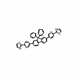 c1ccc(C2(c3ccccc3)c3cc(-c4ccc(-c5nccs5)nc4)ccc3-c3ccc(-c4ccc(-c5nccs5)nc4)cc32)cc1